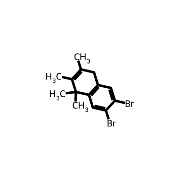 CC1=C(C)C(C)(C)c2cc(Br)c(Br)cc2C1